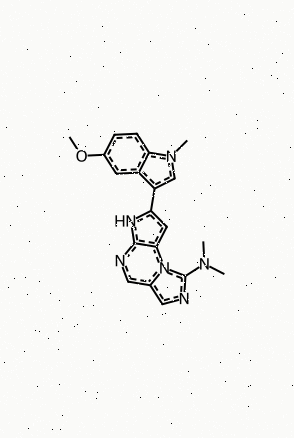 COc1ccc2c(c1)c(-c1cc3c(ncc4cnc(N(C)C)n43)[nH]1)cn2C